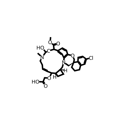 COC(=O)C1CC(O)N(C)CC/C=C/C(OCC(=O)O)[C@@H]2CC[C@H]2CN2C[C@@]3(CCCc4cc(Cl)ccc43)COc3ccc1cc32